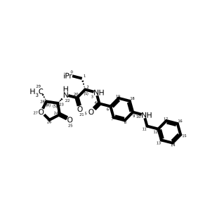 CC(C)C[C@H](NC(=O)c1ccc(NCc2ccccc2)cc1)C(=O)N[C@@H]1C(=O)CO[C@@H]1C